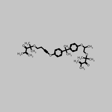 C=C(C)C(=O)C(C)(C)OCCC#COc1ccc(C(C)(C)c2ccc(OC(C)COC(C)(C)C(=O)C(=C)C)cc2)cc1